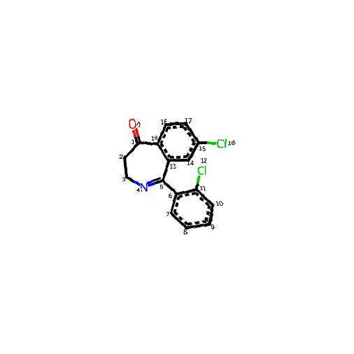 O=C1CCN=C(c2ccccc2Cl)c2cc(Cl)ccc21